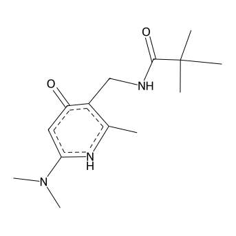 Cc1[nH]c(N(C)C)cc(=O)c1CNC(=O)C(C)(C)C